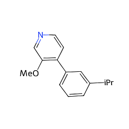 COc1cnccc1-c1cccc(C(C)C)c1